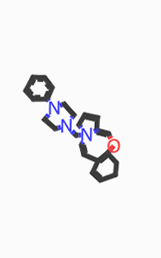 C1=CC2=C(CC1)O/C=C1/C=CC[N+]1(CN1CCN(c3ccccc3)CC1)/C=C\2